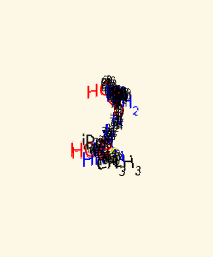 Cc1ncsc1-c1ccc([C@H](C)NC(=O)[C@@H]2C[C@@H](O)CN2C(=O)[C@@H](c2cc(N3CCN(CCC4CCN(CCOC5CC(Oc6cc(N7C8CC[C@@H]7CN(c7cc(-c9ccccc9O)nnc7N)C8)ccn6)C5)CC4)CC3)no2)C(C)C)cc1